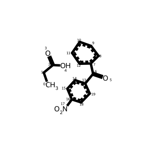 CCC(=O)O.O=C(c1ccccc1)c1ccc([N+](=O)[O-])cc1